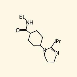 [CH2]CNC(=O)C1CCC(N2CCCN=C2C(C)C)CC1